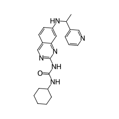 CC(Nc1ccc2cnc(NC(=O)NC3CCCCC3)nc2c1)c1cccnc1